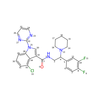 O=C(NCC(c1ccc(F)c(F)c1)N1CCCCC1)c1cn(-c2ncccn2)c2cccc(Cl)c12